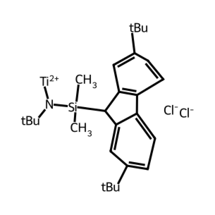 CC(C)(C)c1ccc2c(c1)C([Si](C)(C)[N]([Ti+2])C(C)(C)C)c1cc(C(C)(C)C)ccc1-2.[Cl-].[Cl-]